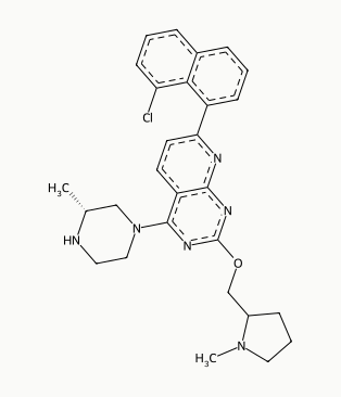 C[C@@H]1CN(c2nc(OCC3CCCN3C)nc3nc(-c4cccc5cccc(Cl)c45)ccc23)CCN1